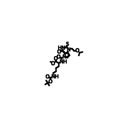 COC(=O)C(CCCCNC(=O)OC(C)(C)C)NC(=O)n1ccc2c1c(=O)[nH]c(=S)n2CCOC(C)C